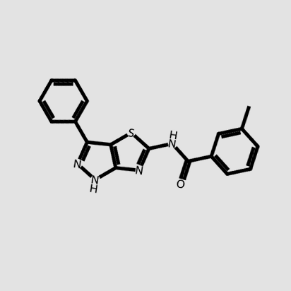 Cc1cccc(C(=O)Nc2nc3[nH]nc(-c4ccccc4)c3s2)c1